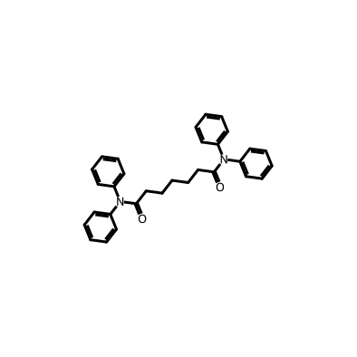 O=C(CCCCCC(=O)N(c1ccccc1)c1ccccc1)N(c1ccccc1)c1ccccc1